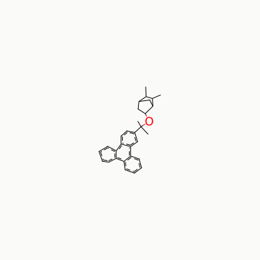 CC1C2CC(OC(C)(C)c3ccc4c5ccccc5c5ccccc5c4c3)C(C2)C1C